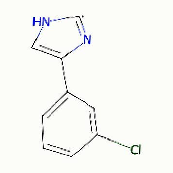 Clc1cccc(-c2c[nH][c]n2)c1